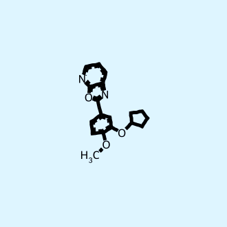 COc1ccc(-c2nc3cccnc3o2)cc1OC1CCCC1